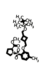 COC(=O)[C@@H]1CCCN1S(=O)(=O)c1ccc(C)cc1OCC1CC(CO[Si](C)(C)C(C)(C)C)C1